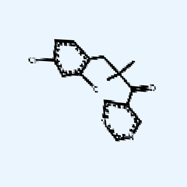 CC(C)(Cc1ccc(Cl)cc1Cl)C(=O)c1cncnc1